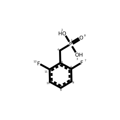 O=P(O)(O)Cc1c(F)cccc1F